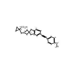 CC(C)Oc1ccc(C#Cc2ccc3c(c2)CC2(C3)CN(CC3(C(=O)O)CC3)C2)cc1